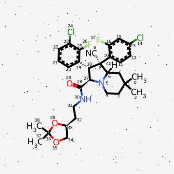 CC1(C)CCN2[C@@H](C1)[C@](C#N)(c1ccc(Cl)cc1F)[C@@H](c1cccc(Cl)c1F)[C@@H]2C(=O)NCC[C@H]1COC(C)(C)O1